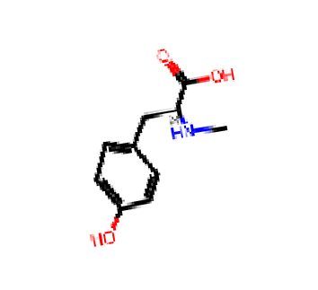 CN[C@@H](Cc1ccc(O)cc1)C(=O)O